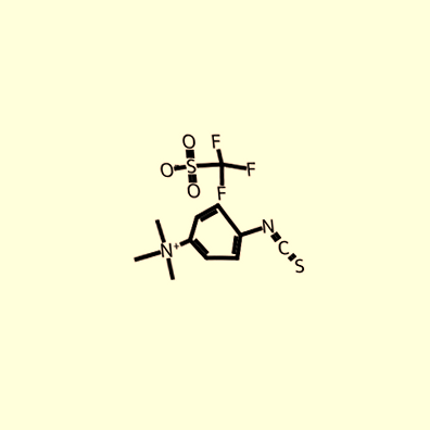 C[N+](C)(C)c1ccc(N=C=S)cc1.O=S(=O)([O-])C(F)(F)F